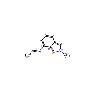 C/C=C/c1cccc2cn(C)cc12